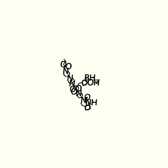 Bc1cc(C[C@@H](OC(=O)N2CCC(N3CCc4ccccc4NC3=O)CC2)C(=O)N2CCN(C3CCN(CC(=O)OCC)CC3)CC2)ccc1O